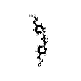 Br.O/N=C/c1cc[n+](CCC[n+]2ccc(/C=N/O)cc2)cc1